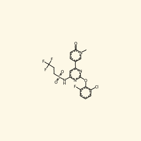 Cn1cc(-c2cc(NS(=O)(=O)CCC(F)(F)F)nc(Oc3c(F)cccc3Cl)n2)ccc1=O